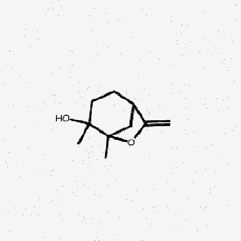 C=C1OC2(C)CC1CCC2(C)O